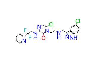 O=c1c(NCC(F)(F)c2ccccn2)ncc(Cl)n1CCNCc1n[nH]c2ccc(Cl)cc12